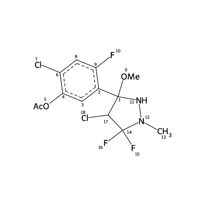 COC1(c2cc(OC(C)=O)c(Cl)cc2F)NN(C)C(F)(F)C1Cl